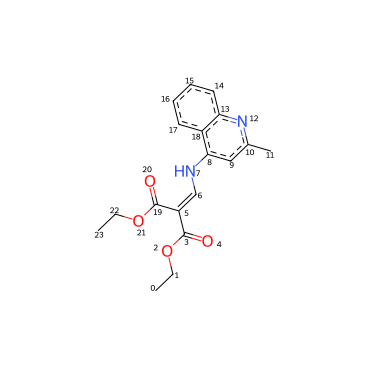 CCOC(=O)C(=CNc1cc(C)nc2ccccc12)C(=O)OCC